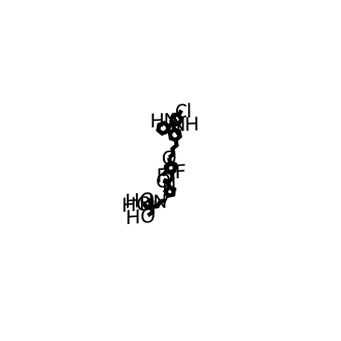 O=C(Cc1c(F)cc(OCCCC2CCN(C3(C4CCCCC4)NCC(Cl)CN3)CC2)cc1F)N1CC[C@@H](CNCC(CO)(CO)CO)C1